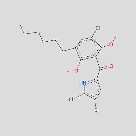 CCCCCCc1cc(Cl)c(OC)c(C(=O)c2cc(Cl)c(Cl)[nH]2)c1OC